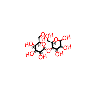 OC[C@H]1O[C@H](O[C@@H]2[C@H](O)[C@@H](O)C(O)O[C@@H]2CO)[C@H](O)[C@@H](O)[C@H]1O